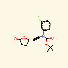 CC(C)(C)OC(=O)N(C#C[C@@H]1CCC(=O)O1)c1cccc(F)c1